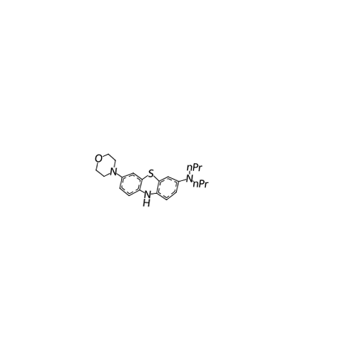 CCCN(CCC)c1ccc2c(c1)Sc1cc(N3CCOCC3)ccc1N2